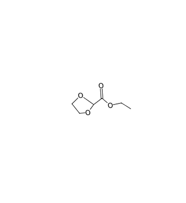 CCOC(=O)C1OCCO1